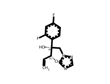 C=C[C@@H](C)[C@](O)(Cn1cncn1)c1ccc(F)cc1F